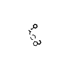 c1ccc(-c2nc(CN3CCCN(C4CCCc5cccnc54)CC3)cs2)cc1